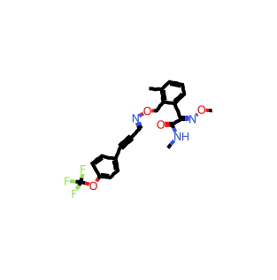 CNC(=O)/C(=N/OC)c1cccc(C)c1CO/N=C/C#Cc1ccc(OC(F)(F)F)cc1